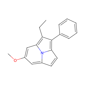 CCc1c(-c2ccccc2)c2ccc3cc(OC)cc1n32